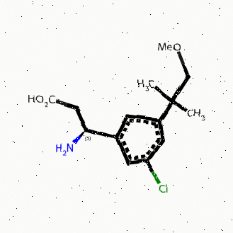 COCC(C)(C)c1cc(Cl)cc([C@@H](N)CC(=O)O)c1